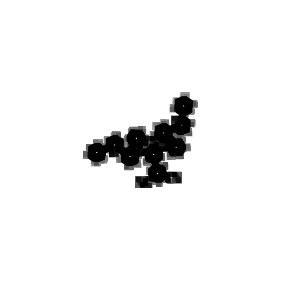 N#Cc1cc(C#N)cc(-c2cc(-n3c4ccccc4c4c(-c5cccc(-c6ccccc6)n5)cccc43)c(C#N)c(-n3c4ccccc4c4c(-c5cccc(-c6ccccc6)n5)cccc43)c2)c1